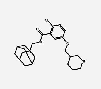 O=C(NCC12CC3CC(CC(C3)C1)C2)c1cc(OCC2CCCNC2)ccc1Cl